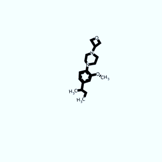 CCC(C)c1ccc(N2CCN(C3COC3)CC2)c(OC)c1